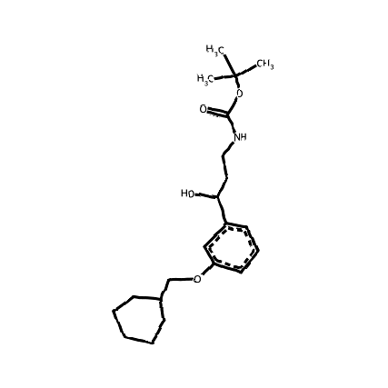 CC(C)(C)OC(=O)NCCC(O)c1cccc(OCC2CCCCC2)c1